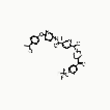 CC(=O)c1ccc(Oc2ccc(NC(=O)c3ccc(C(=O)N4CCC(C(=O)c5ccc(OC(F)(F)F)cc5)CC4)nc3)cn2)cc1